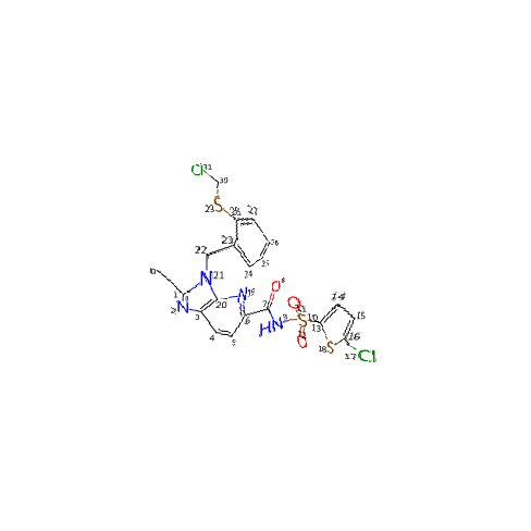 Cc1nc2ccc(C(=O)NS(=O)(=O)c3ccc(Cl)s3)nc2n1Cc1ccccc1SCCl